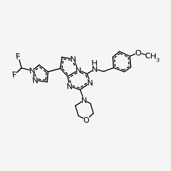 COc1ccc(CNc2nc(N3CCOCC3)nc3c(-c4cnn(C(F)F)c4)cnn23)cc1